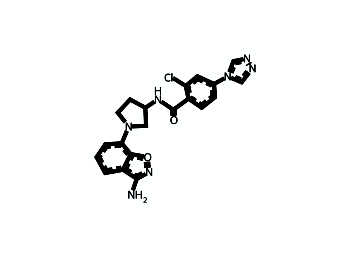 Nc1noc2c(N3CCC(NC(=O)c4ccc(-n5cnnc5)cc4Cl)C3)cccc12